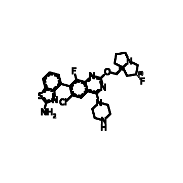 Nc1nc2c(-c3c(Cl)cc4c(N5CCNCC5)nc(OC[C@@]56CCCN5C[C@H](F)C6)nc4c3F)cccc2s1